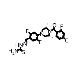 C[C@@H]1CN(c2cc(F)c(/C=N/NC(N)=S)cc2F)C[C@H](C)N1C(=O)c1ccc(Cl)cc1F